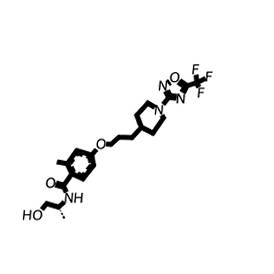 Cc1cc(OCCCC2CCN(c3noc(C(F)(F)F)n3)CC2)ccc1C(=O)N[C@H](C)CO